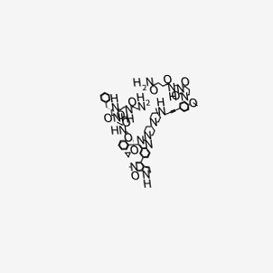 COc1ccc(C#CCNC2(C)CCN(C3CCN(c4nc([C@@](COCNC(=O)CNC(=O)[C@H](Cc5ccccc5)NC(=O)CNC(=O)CN)(OC5CC5)c5ccccc5)c5cc(-c6cn(C)c(=O)c7[nH]ccc67)ccc5n4)CC3)CC2)cc1N1CCC(=O)N(CNC(=O)CCC(N)=O)C1=O